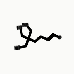 [O]C=CCCC(CO)(CO)CO